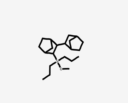 CCC[Si](CCC)(OC)C1C2CCC(C2)C1C1CC2CCC1C2